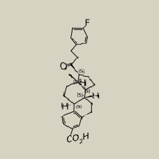 C[C@]12CC[C@@H]3c4ccc(C(=O)O)cc4CC[C@H]3[C@@H]1CC[C@@H]2C(=O)CCc1ccc(F)cc1